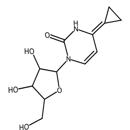 O=C1NC(=C2CC2)C=CN1C1OC(CO)C(O)C1O